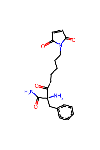 NC(=O)[C@@](N)(Cc1ccccc1)C(=O)CCCCCN1C(=O)C=CC1=O